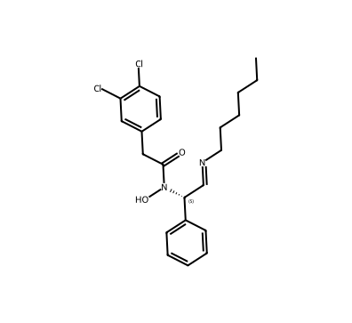 CCCCCCN=C[C@H](c1ccccc1)N(O)C(=O)Cc1ccc(Cl)c(Cl)c1